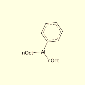 CCCCCCC[CH2][Al]([CH2]CCCCCCC)[c]1ccccc1